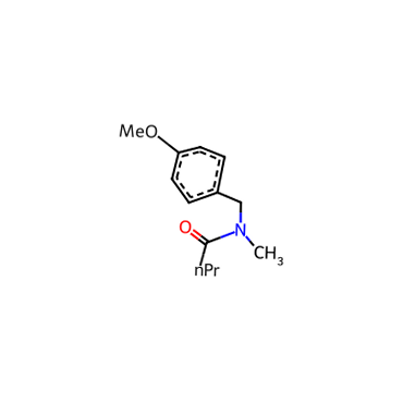 CCCC(=O)N(C)Cc1ccc(OC)cc1